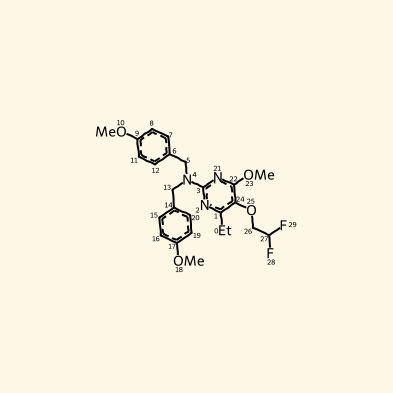 CCc1nc(N(Cc2ccc(OC)cc2)Cc2ccc(OC)cc2)nc(OC)c1OCC(F)F